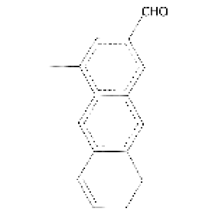 Cc1cc(C=O)cc2cc3c(cc12)C=CCC3